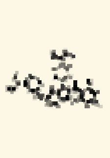 CC(C)N1CCC[C@@H](Nc2ncc3nc(Nc4c(F)cc(Cl)cc4Cl)n(C4CCC(C(N)=O)CC4)c3n2)C1